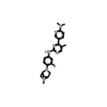 Cc1cnc(Nc2ccc(N3CC4CC3CN4C)c(F)c2)nc1-c1ccc(N(C)C)nc1